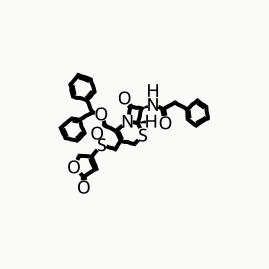 O=C(Cc1ccccc1)N[C@@H]1C(=O)N2C(C(=O)OC(c3ccccc3)c3ccccc3)=C(CSC3=CC(=O)OC3)CS[C@@H]12